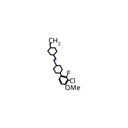 C=CC1CCC(/C=C/C2CCC(c3ccc(OC)c(Cl)c3F)CC2)CC1